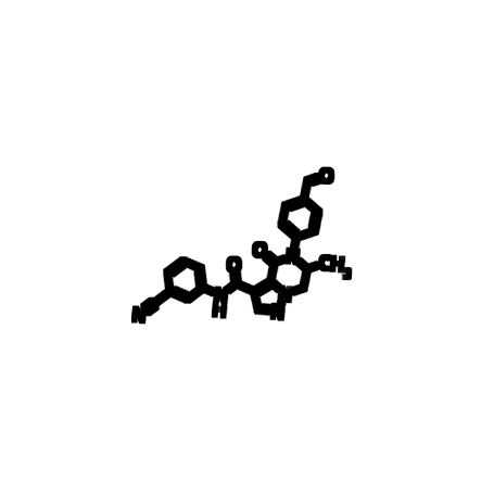 CC1Cn2ncc(C(=O)Nc3cccc(C#N)c3)c2C(=O)N1c1ccc(C=O)cc1